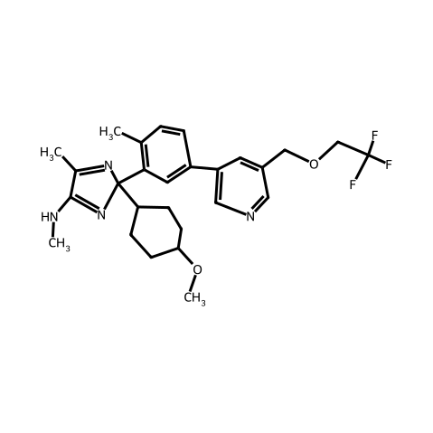 CNC1=NC(c2cc(-c3cncc(COCC(F)(F)F)c3)ccc2C)(C2CCC(OC)CC2)N=C1C